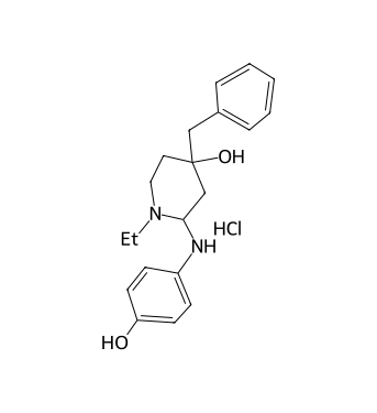 CCN1CCC(O)(Cc2ccccc2)CC1Nc1ccc(O)cc1.Cl